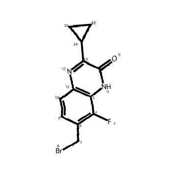 O=c1[nH]c2c(F)c(CBr)ccc2nc1C1CC1